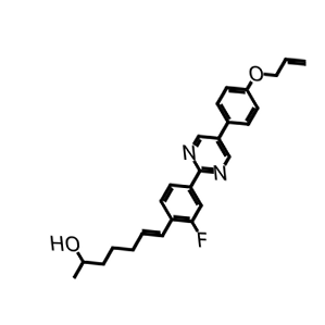 C=CCOc1ccc(-c2cnc(-c3ccc(/C=C/CCCC(C)O)c(F)c3)nc2)cc1